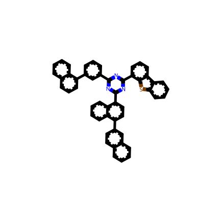 c1cc(-c2nc(-c3ccc(-c4ccc5ccccc5c4)c4ccccc34)nc(-c3cccc4c3sc3ccccc34)n2)cc(-c2cccc3ccccc23)c1